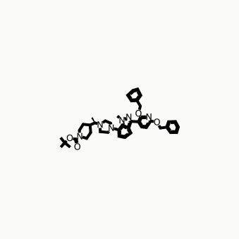 C[C@H](C1CCN(C(=O)OC(C)(C)C)CC1)N1CCN(c2cccc3c(-c4ccc(OCc5ccccc5)nc4OCc4ccccc4)nn(C)c23)CC1